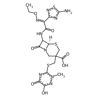 CCON=C(C(=O)NC1C(=O)N2CC(CSc3nc(=O)c(O)nn3C)(C(=O)O)CS[C@H]12)c1nsc(N)n1